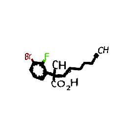 C#CCCCCCC(C)(C(=O)O)c1cccc(Br)c1F